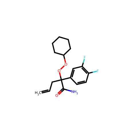 C=CCC(OOC1CCCCC1)(C(N)=O)c1ccc(F)c(F)c1